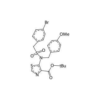 COc1ccc(CN(c2scnc2C(=O)OC(C)(C)C)S(=O)(=O)Cc2ccc(Br)cc2)cc1